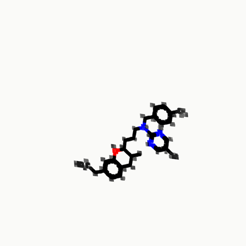 CCc1cnc(N(CCCC2Oc3cc(CC(=O)O)ccc3CC2C)Cc2ccc(C(F)(F)F)cc2)nc1